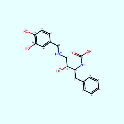 O=C(O)N[C@@H](Cc1ccccc1)[C@@H](O)CNCc1ccc(O)c(O)c1